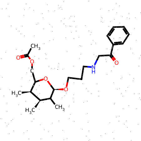 CC(=O)OCC1O[C@@H](OCCCNCC(=O)c2ccccc2)C(C)[C@@H](C)[C@H]1C